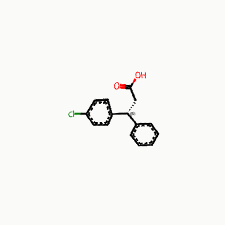 O=C(O)C[C@H](c1ccccc1)c1ccc(Cl)cc1